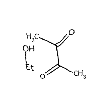 CC(=O)C(C)=O.CCO